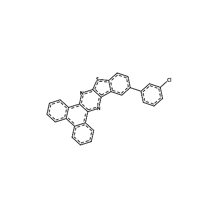 Clc1cccc(-c2ccc3sc4nc5c6ccccc6c6ccccc6c5nc4c3c2)c1